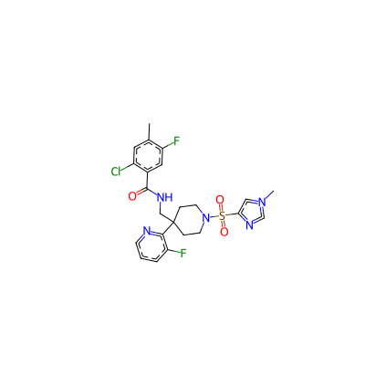 Cc1cc(Cl)c(C(=O)NCC2(c3ncccc3F)CCN(S(=O)(=O)c3cn(C)cn3)CC2)cc1F